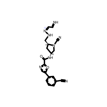 N#Cc1cccc(-c2cnc(C(=O)N[C@@H]3C[C@@H](CN/N=C\C=N)N(C#N)C3)o2)c1